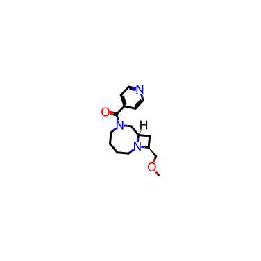 COC[C@@H]1C[C@@H]2CN(C(=O)c3ccncc3)CCCCN12